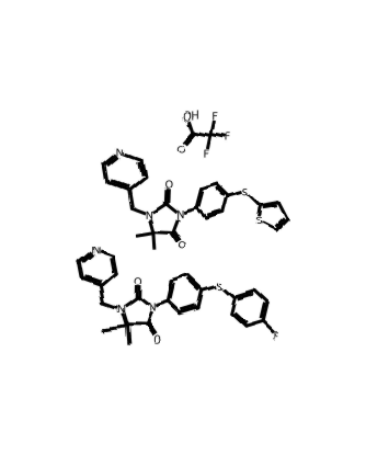 CC1(C)C(=O)N(c2ccc(Sc3ccc(F)cc3)cc2)C(=O)N1Cc1ccncc1.CC1(C)C(=O)N(c2ccc(Sc3cccs3)cc2)C(=O)N1Cc1ccncc1.O=C(O)C(F)(F)F